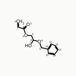 C=CC(=O)OCC(O)OCc1ccccc1